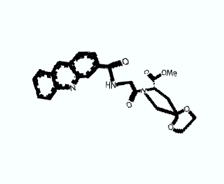 COC(=O)[C@@H]1CC2(CN1C(=O)CNC(=O)c1ccc3cc4ccccc4nc3c1)OCCO2